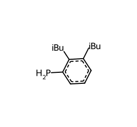 CCC(C)c1cccc(P)c1C(C)CC